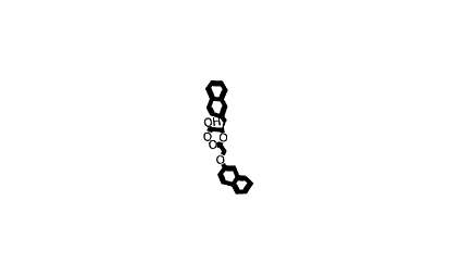 O=C(COc1ccc2ccccc2c1)O[C@H](Cc1ccc2ccccc2c1)C(=O)O